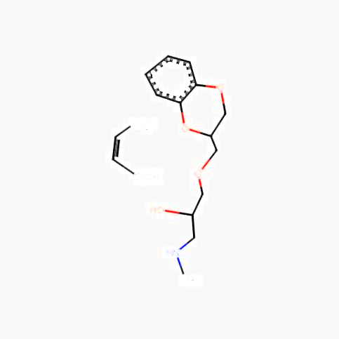 CC(C)(C)NCC(O)COCC1COc2ccccc2O1.O=C(O)/C=C\C(=O)O